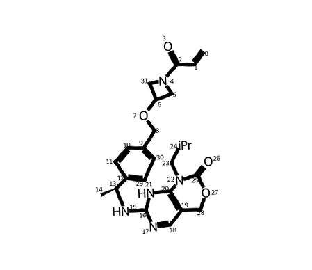 C=CC(=O)N1CC(OCc2ccc([C@H](C)NC3N=CC4=C(N3)N(CC(C)C)C(=O)OC4)cc2)C1